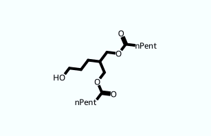 CCCCCC(=O)OCC(CCCO)COC(=O)CCCCC